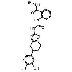 CC(C)NC(=O)c1ccccc1NC(=O)Nc1nc2c(s1)CN(c1cnc(O)c(O)c1)CC2